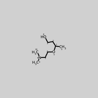 CC(CCO)OCCN(C)C